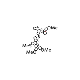 COc1ccc(C2(c3ccccc3)C=Cc3c4c(c5ccc(SCCC6(C)c7ccccc7-c7c6c6c(c8cc(SC)ccc78)OC(c7ccc(OC)cc7)(c7ccc(OC)cc7)C=C6)cc5c3O2)-c2ccccc2C4(C)C)cc1